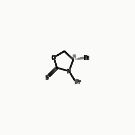 CC[C@H]1COC(=S)N1C(C)C